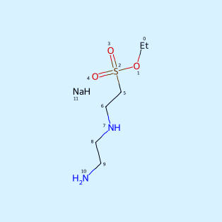 CCOS(=O)(=O)CCNCCN.[NaH]